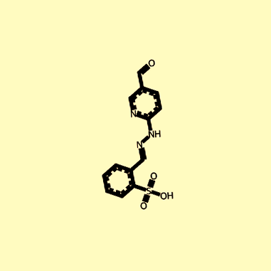 O=Cc1ccc(NN=Cc2ccccc2S(=O)(=O)O)nc1